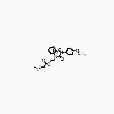 C=CC(=O)OCCN(C(=O)N(C)c1ccc(OC)cc1)c1ccccc1